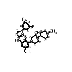 Cc1cc(Nc2ncn(-c3cc(F)cc(F)c3)n2)c(F)c(N2CCN(C3CCN(C)CC3)C(C)C2)c1